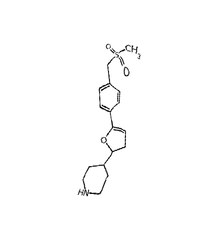 CS(=O)(=O)Cc1ccc(C2=CCC(C3CCNCC3)O2)cc1